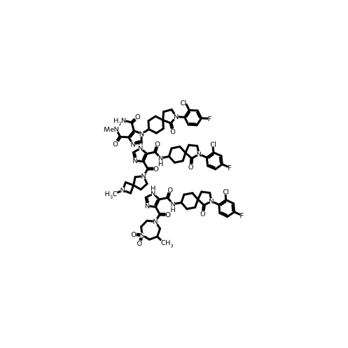 CC1CN(C(=O)c2nc[nH]c2C(=O)NC2CCC3(CC2)CCN(c2ccc(F)cc2Cl)C3=O)CCS(=O)(=O)C1.CN1CC2(CCN(C(=O)c3nc[nH]c3C(=O)NC3CCC4(CC3)CCN(c3ccc(F)cc3Cl)C4=O)C2)C1.CNC(=O)c1ncn(C2CCC3(CC2)CCN(c2ccc(F)cc2Cl)C3=O)c1C(N)=O